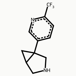 FC(F)(F)c1ccc(C23CNCC2C3)cn1